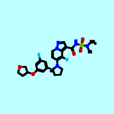 CCN(C)S(=O)(=O)NC(=O)c1cnn2ccc(N3CCC[C@@H]3c3cc(F)cc(OC4CCOC4)c3)c(F)c12